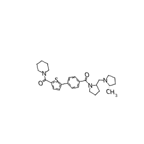 C[C@H]1CCCN1CC1CCCN1C(=O)c1ccc(-c2ccc(C(=O)N3CCCCC3)s2)cc1